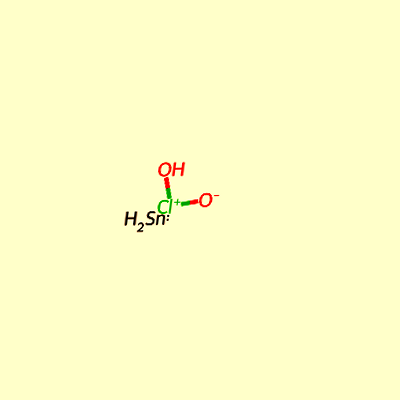 [O-][Cl+]O.[SnH2]